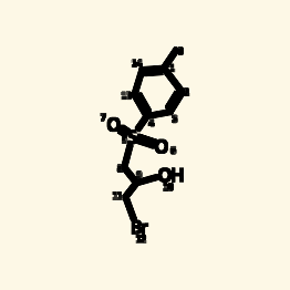 Cc1ccc(S(=O)(=O)CC(O)CBr)cc1